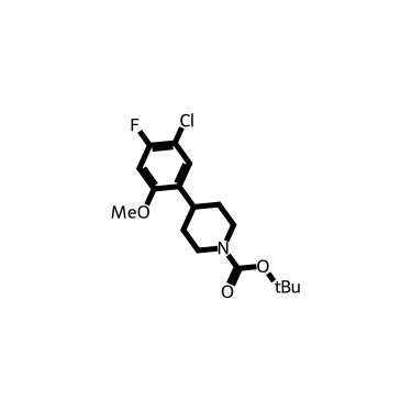 COc1cc(F)c(Cl)cc1C1CCN(C(=O)OC(C)(C)C)CC1